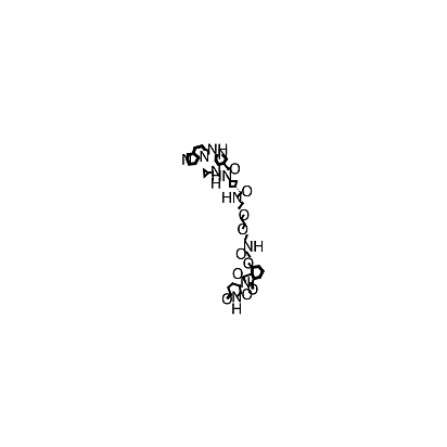 O=C(COc1cccc2c1C(=O)N(C1CCC(=O)NC1=O)C2=O)NCCOCCOCCNC(=O)[C@H]1C[C@H](NC(=O)c2cnc(Nc3ccc4cnccc4n3)cc2NC2CC2)C1